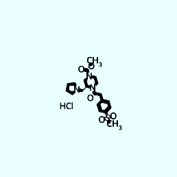 COC(=O)N1CCN(C(=O)Cc2ccc(S(C)(=O)=O)cc2)[C@H](CN2CCCC2)C1.Cl